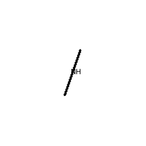 CC=CCCCCCCCCCCCCCCCCCNCCCCCCCCCCCCCCCCCC